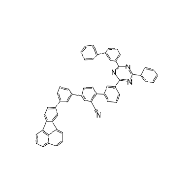 N#Cc1cc(-c2cccc(-c3ccc4c(c3)-c3cccc5cccc-4c35)c2)ccc1-c1cccc(-c2nc(-c3ccccc3)nc(-c3cccc(-c4ccccc4)c3)n2)c1